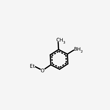 Bc1ccc(OCC)cc1C